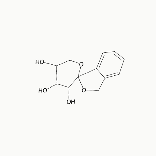 OC1COC2(OCc3ccccc32)C(O)C1O